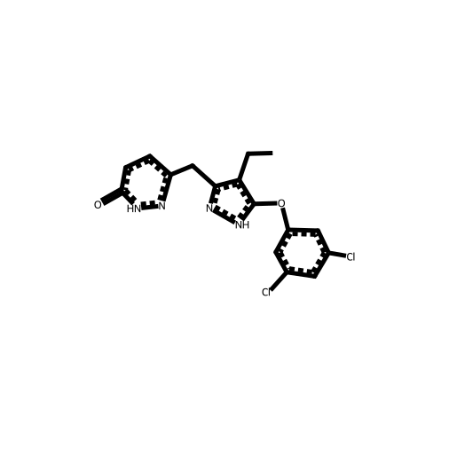 CCc1c(Cc2ccc(=O)[nH]n2)n[nH]c1Oc1cc(Cl)cc(Cl)c1